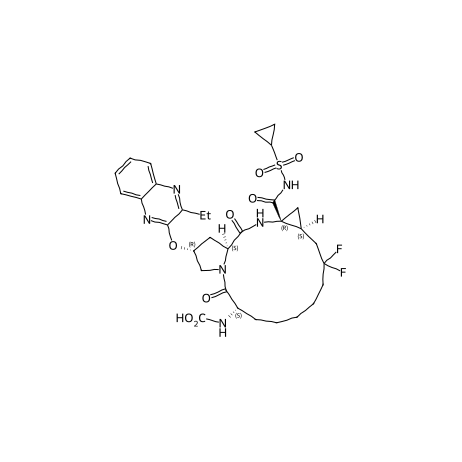 CCc1nc2ccccc2nc1O[C@@H]1C[C@H]2C(=O)N[C@]3(C(=O)NS(=O)(=O)C4CC4)C[C@H]3CC(F)(F)CCCCC[C@H](NC(=O)O)C(=O)N2C1